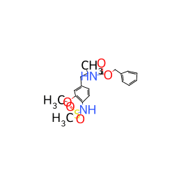 COc1cc(CC(C)NC(=O)OCc2ccccc2)ccc1NS(C)(=O)=O